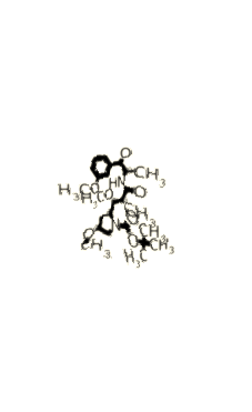 COc1cccc(C(=O)[C@@H](C)NC(=O)[C@H](C)[C@@H](OC)[C@@H]2C[C@@H](OC)CN2C(=O)OC(C)(C)C)c1